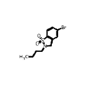 CCCCN1Cc2cc(Br)ccc2S1(=O)=O